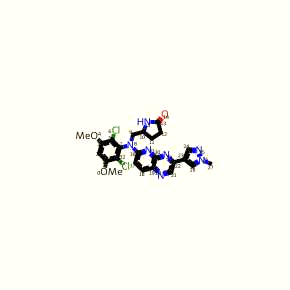 COc1cc(OC)c(Cl)c(N(CC2CCC(=O)N2)c2ccc3ncc(-c4cnn(C)c4)nc3n2)c1Cl